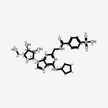 O=C(NCc1nc(NC2CCCC2)c2ncn([C@@H]3O[C@H](CO)[C@@H](O)[C@H]3O)c2n1)c1ccc(S(=O)(=O)O)cc1